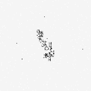 Cc1cnc(Nc2cc(C)n(C)n2)nc1-c1c[nH]c2c(NC(=O)CN3CC[C@H](Oc4ncnc(Cl)c4C)C3)cccc12